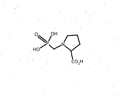 O=C(O)C1CCCN1CP(=O)(O)O